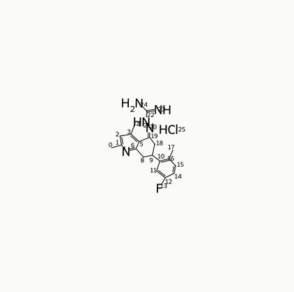 Cc1cc(C)c2c(n1)CC(c1cc(F)ccc1C)C/C2=N/NC(=N)N.Cl